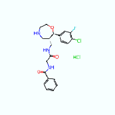 Cl.O=C(CNC(=O)c1ccccc1)NC[C@@H]1CNCCO[C@H]1c1ccc(Cl)c(F)c1